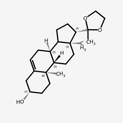 CC1([C@H]2CCC3[C@@H]4CC=C5C[C@@H](O)CC[C@]5(C)[C@H]4CC[C@@]32C)OCCO1